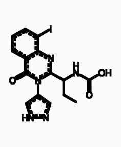 CCC(NC(=O)O)c1nc2c(I)cccc2c(=O)n1-c1cn[nH]c1